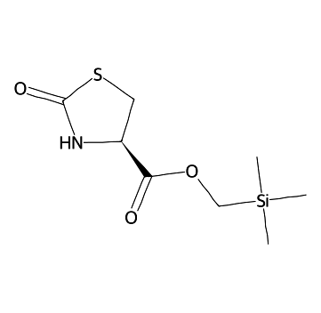 C[Si](C)(C)COC(=O)[C@@H]1CSC(=O)N1